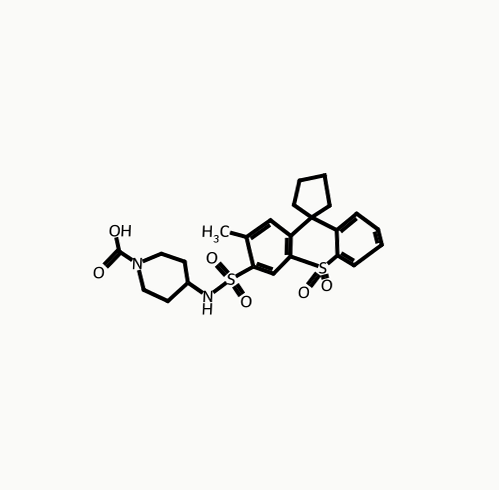 Cc1cc2c(cc1S(=O)(=O)NC1CCN(C(=O)O)CC1)S(=O)(=O)c1ccccc1C21CCCC1